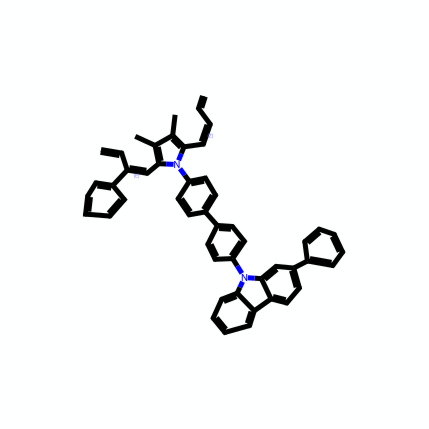 C=C/C=C\c1c(C)c(C)c(/C=C(\C=C)c2ccccc2)n1-c1ccc(-c2ccc(-n3c4ccccc4c4ccc(-c5ccccc5)cc43)cc2)cc1